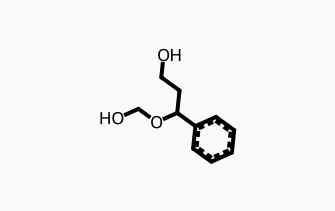 OCCC(OCO)c1ccccc1